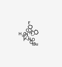 CN(C(=O)N1CCc2ccccc2[C@@H]1c1ccc(F)cc1)C1CN(C(=O)OC(C)(C)C)CC1(F)F